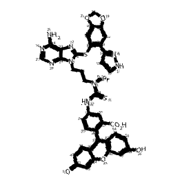 CC(C)N(CCCn1c(Sc2cc3c(cc2-c2cc[nH]n2)OCO3)nc2c(N)ncnc21)C(=S)Nc1ccc(-c2c3ccc(=O)cc-3oc3cc(O)ccc23)c(C(=O)O)c1